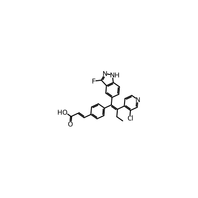 CCC(=C(c1ccc(C=CC(=O)O)cc1)c1ccc2[nH]nc(F)c2c1)c1ccncc1Cl